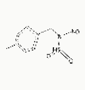 Cc1ccc(CN(N=O)[SH](=O)=O)cc1